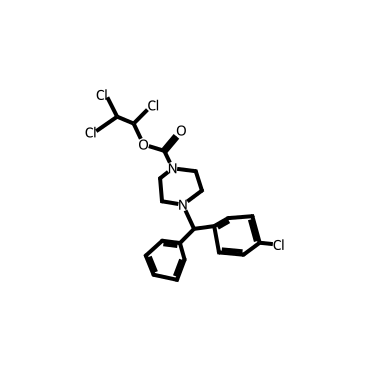 O=C(OC(Cl)C(Cl)Cl)N1CCN(C(c2ccccc2)c2ccc(Cl)cc2)CC1